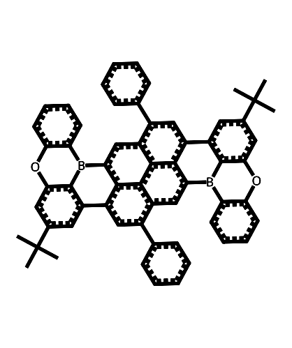 CC(C)(C)c1cc2c3c(c1)-c1cc(-c4ccccc4)c4cc5c6c(cc(-c7ccccc7)c7cc(c1c4c76)B3c1ccccc1O2)-c1cc(C(C)(C)C)cc2c1B5c1ccccc1O2